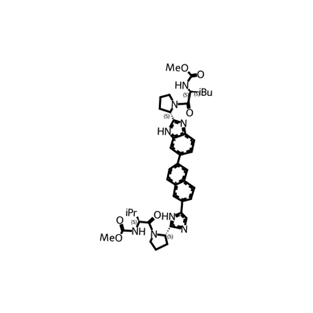 CC[C@H](C)[C@H](NC(=O)OC)C(=O)N1CCC[C@H]1c1nc2ccc(-c3ccc4cc(-c5cnc([C@@H]6CCCN6C(=O)[C@@H](NC(=O)OC)C(C)C)[nH]5)ccc4c3)cc2[nH]1